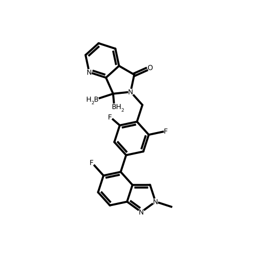 BC1(B)c2ncccc2C(=O)N1Cc1c(F)cc(-c2c(F)ccc3nn(C)cc23)cc1F